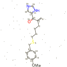 C=C(CCCCSCc1ccc(OC)cc1)C(=O)c1cnc[nH]1